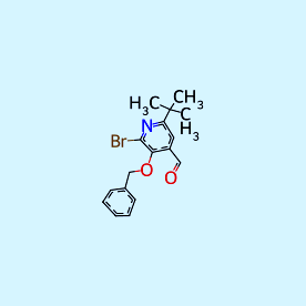 CC(C)(C)c1cc(C=O)c(OCc2ccccc2)c(Br)n1